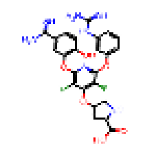 N=C(N)Nc1cccc(Oc2nc(Oc3cc(C(=N)N)ccc3O)c(F)c(OC3CNC(C(=O)O)C3)c2F)c1